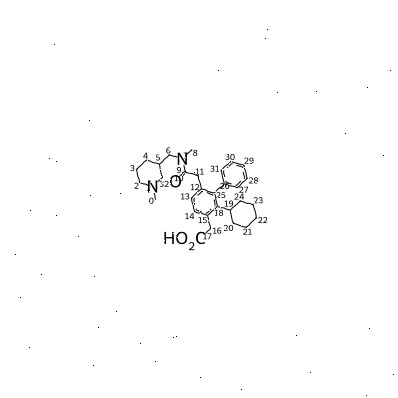 CN1CCCC(CN(C)C(=O)Cc2ccc(CC(=O)O)c(C3CCCCC3)c2-c2ccccc2)C1